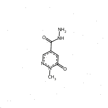 Cn1ncc(C(=O)NN)cc1=O